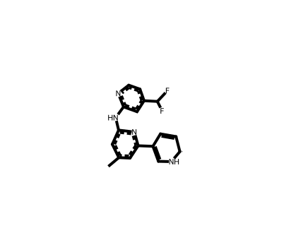 Cc1cc(Nc2cc(C(F)F)ccn2)nc(C2=CN[CH]C=C2)c1